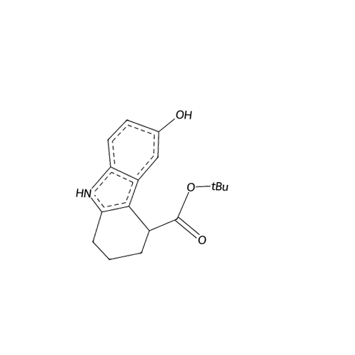 CC(C)(C)OC(=O)C1CCCc2[nH]c3ccc(O)cc3c21